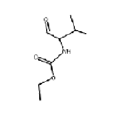 CCOC(=O)NC([C]=O)C(C)C